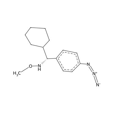 CON[C@@H](c1ccc(N=[N+]=[N-])cc1)C1CCCCC1